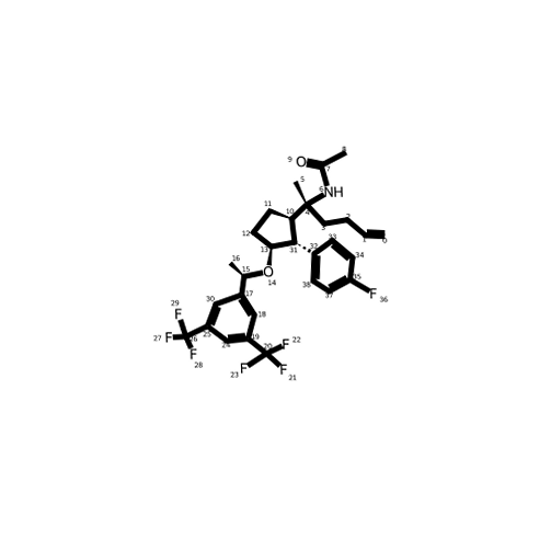 C=CCC[C@@](C)(NC(C)=O)[C@@H]1CC[C@H](O[C@H](C)c2cc(C(F)(F)F)cc(C(F)(F)F)c2)[C@H]1c1ccc(F)cc1